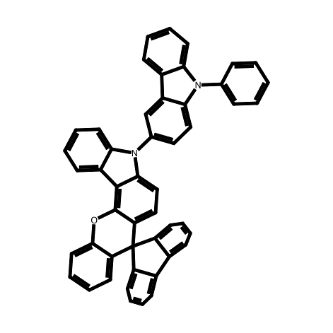 c1ccc(-n2c3ccccc3c3cc(-n4c5ccccc5c5c6c(ccc54)C4(c5ccccc5O6)c5ccccc5-c5ccccc54)ccc32)cc1